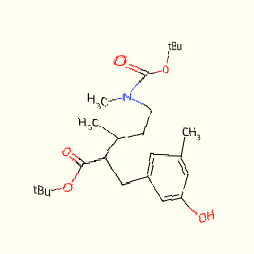 Cc1cc(O)cc(CC(C(=O)OC(C)(C)C)C(C)CCN(C)C(=O)OC(C)(C)C)c1